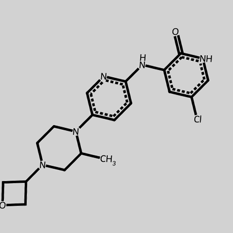 CC1CN(C2COC2)CCN1c1ccc(Nc2cc(Cl)c[nH]c2=O)nc1